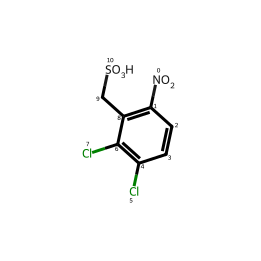 O=[N+]([O-])c1ccc(Cl)c(Cl)c1CS(=O)(=O)O